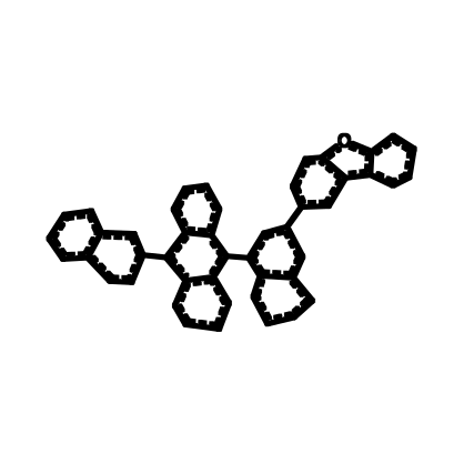 c1ccc2cc(-c3c4ccccc4c(-c4cc(-c5ccc6oc7ccccc7c6c5)cc5ccccc45)c4ccccc34)ccc2c1